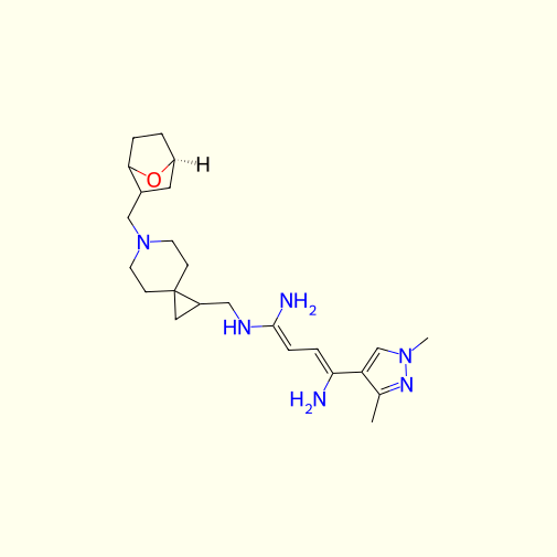 Cc1nn(C)cc1/C(N)=C/C=C(\N)NCC1CC12CCN(CC1C[C@@H]3CCC1O3)CC2